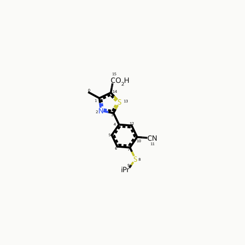 Cc1nc(-c2ccc(SC(C)C)c(C#N)c2)sc1C(=O)O